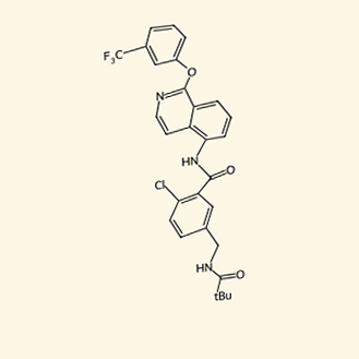 CC(C)(C)C(=O)NCc1ccc(Cl)c(C(=O)Nc2cccc3c(Oc4cccc(C(F)(F)F)c4)nccc23)c1